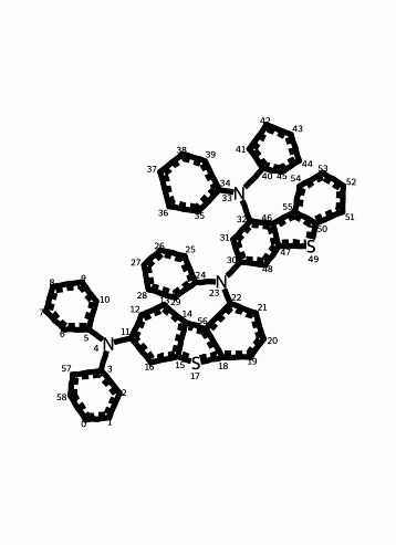 c1ccc(N(c2ccccc2)c2ccc3c(c2)sc2cccc(N(c4ccccc4)c4cc(N(c5ccccc5)c5ccccc5)c5c(c4)sc4ccccc45)c23)cc1